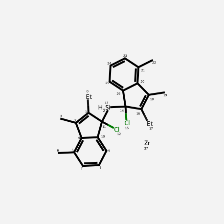 CCC1=C(C)c2c(C)cccc2C1(Cl)[SiH2]C1(Cl)C(CC)=C(C)c2c(C)cccc21.[Zr]